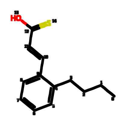 CCCCc1ccccc1C=CC(O)=S